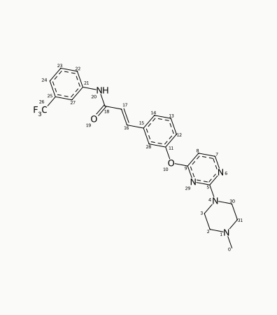 CN1CCN(c2nccc(Oc3cccc(/C=C/C(=O)Nc4cccc(C(F)(F)F)c4)c3)n2)CC1